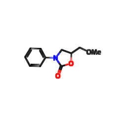 COCC1CN(c2ccccc2)C(=O)O1